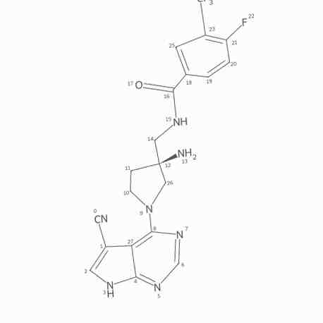 N#Cc1c[nH]c2ncnc(N3CC[C@](N)(CNC(=O)c4ccc(F)c(C(F)(F)F)c4)C3)c12